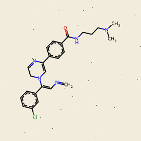 C=N/C=C(/c1cccc(Cl)c1)N1C=C(c2ccc(C(=O)NCCCN(C)C)cc2)N=CC1